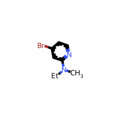 CCN(C)c1cc(Br)ccn1